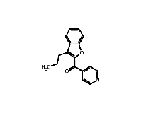 CCCc1c(C(=O)c2ccncc2)oc2ccccc12